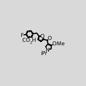 COC1=C(C(=O)c2ccc(Cc3ccc(F)cc3C(=O)O)o2)CN(C(C)C)C1